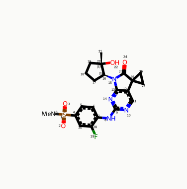 CNS(=O)(=O)c1ccc(Nc2ncc3c(n2)N([C@H]2CCC[C@]2(C)O)C(=O)C32CC2)c(F)c1